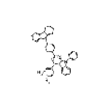 C/C=C\C(=C/C)c1nc(-c2ccc(-n3c4ccccc4c4ccccc43)cc2)nc2c1c1ccccc1n2-c1ccccc1